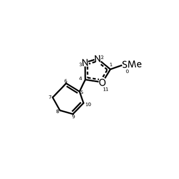 CSc1nnc(C2=CCCC=C2)o1